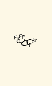 Fc1ccc(OC(F)F)c(F)c1CBr